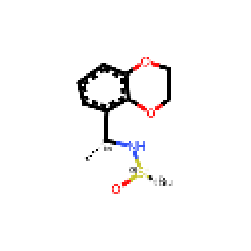 C[C@@H](N[S@+]([O-])C(C)(C)C)c1cccc2c1OCCO2